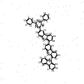 c1ccc(-c2nc(-c3ccccc3)nc(-c3ccc4sc5c(-c6ccc7sc8c(-n9c%10ccccc%10c%10ccccc%109)cccc8c7c6)cccc5c4c3)n2)cc1